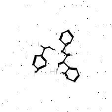 CCC(CNC(C(=O)c1c[nH]c2ccccc12)c1ccccc1)c1ccc(Cl)cc1